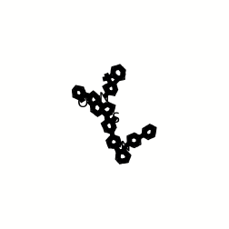 CC1(C)c2ccccc2-c2ccc(-n3c4cc5c6ccccc6oc5c5ccc6c7c(cc3c6c54)sc3cc(-c4ccc5c6ccccc6n(-c6ccc(-c8ccccc8)cc6)c5c4)ccc37)cc21